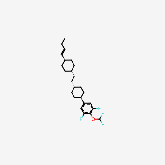 CC/C=C/[C@H]1CC[C@H](CC[C@H]2CC[C@H](c3cc(F)c(OC(F)F)c(F)c3)CC2)CC1